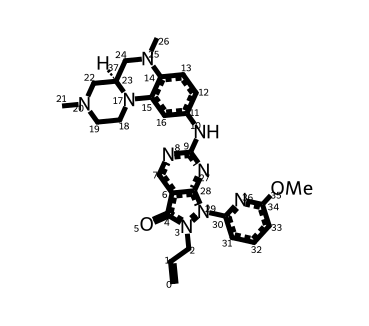 C=CCn1c(=O)c2cnc(Nc3ccc4c(c3)N3CCN(C)C[C@H]3CN4C)nc2n1-c1cccc(OC)n1